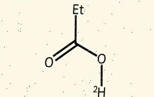 [2H]OC(=O)CC